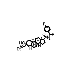 CCOC[C@@]1(O)CC[C@H]2[C@H](CC[C@@H]3[C@@H]2CC[C@]2(C)[C@@H](C(=O)N(C)C(CC)c4ccc(F)cc4)CC[C@@H]32)C1